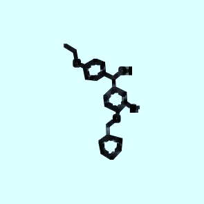 CCOc1ccc(C(O)c2ccc(OCc3ccccc3)c(Br)c2)cc1